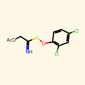 CC(=O)OCC(=N)SOc1ccc(Cl)cc1Cl